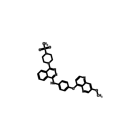 COc1cnc2c(Oc3ccc(Nc4nnc(N5CCN(S(C)(=O)=O)CC5)c5ccccc45)cc3)ccnc2c1